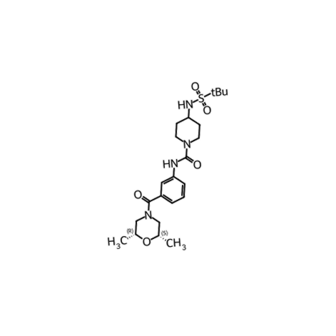 C[C@@H]1CN(C(=O)c2cccc(NC(=O)N3CCC(NS(=O)(=O)C(C)(C)C)CC3)c2)C[C@H](C)O1